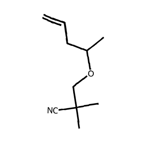 C=CCC(C)OCC(C)(C)C#N